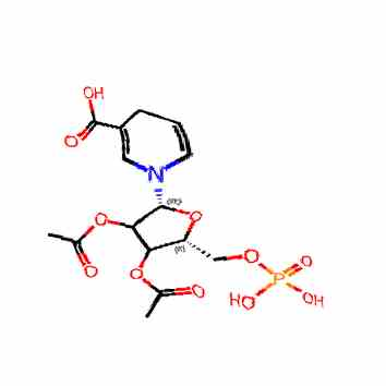 CC(=O)OC1C(OC(C)=O)[C@@H](COP(=O)(O)O)O[C@H]1N1C=CCC(C(=O)O)=C1